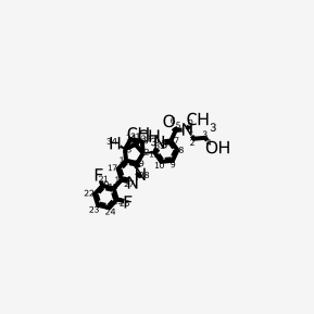 CN(CCO)C(=O)c1cccc([C@@]23CC[C@@H](c4cc(-c5c(F)cccc5F)nnc42)C3(C)C)n1